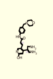 N/C=C(\CN)c1cc(O)ncc1/C=C/C(=O)Nc1ccc(CN2CCOCC2)cc1